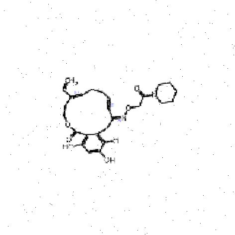 C=C/C1=C\CC/C=C/C(=N\OCC(=O)N2CCCCC2)Cc2c(Cl)c(O)cc(O)c2C(=O)OCC1